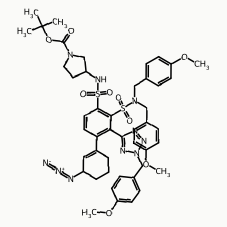 COc1ccc(CN(Cc2ccc(OC)cc2)S(=O)(=O)c2c(S(=O)(=O)NC3CCN(C(=O)OC(C)(C)C)C3)ccc(C3=CC(N=[N+]=[N-])CCC3)c2-c2nnn(Cc3ccc(OC)cc3)n2)cc1